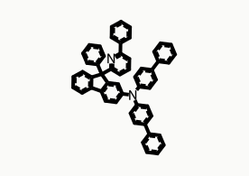 c1ccc(-c2ccc(N(c3ccc(-c4ccccc4)cc3)c3ccc4c(c3)C(c3ccccc3)(c3cccc(-c5ccccc5)n3)c3ccccc3-4)cc2)cc1